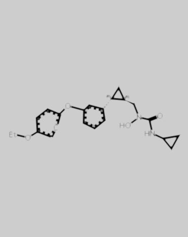 CCOc1ccc(Oc2cccc([C@@H]3C[C@H]3CN(O)C(=O)NC3CC3)c2)cc1